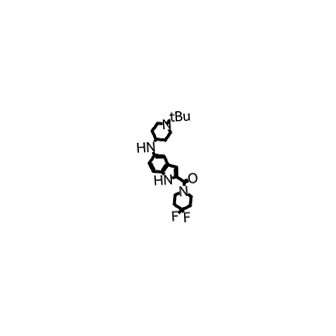 CC(C)(C)N1CCC(Nc2ccc3[nH]c(C(=O)N4CCC(F)(F)CC4)cc3c2)CC1